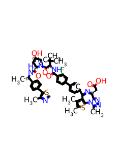 Cc1ncsc1-c1ccc([C@H](C)NC(=O)[C@@H]2C[C@@H](O)CN2C(=O)[C@@H](NC(=O)c2ccc(-c3ccc(C4=N[C@@H](CC(=O)O)c5nnc(C)n5-c5sc(C)c(C)c54)cc3)cc2F)C(C)(C)C)cc1